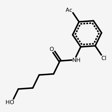 CC(=O)c1ccc(Cl)c(NC(=O)CCCCO)c1